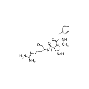 CNC(Cc1ccccc1)C(=O)N1CCC[C@H]1C(=O)NC(C=O)CCCN=C(N)N.[NaH]